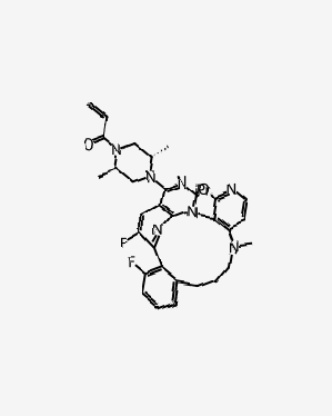 C=CC(=O)N1C[C@H](C)N(c2nc(=O)n3c4nc(c(F)cc24)-c2c(F)cccc2CCCN(C)c2ccnc(C(C)C)c2-3)C[C@H]1C